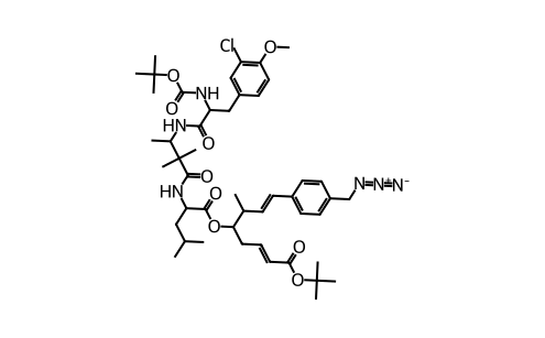 COc1ccc(CC(NC(=O)OC(C)(C)C)C(=O)NC(C)C(C)(C)C(=O)NC(CC(C)C)C(=O)OC(C/C=C/C(=O)OC(C)(C)C)C(C)/C=C/c2ccc(CN=[N+]=[N-])cc2)cc1Cl